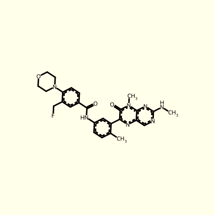 CNc1ncc2nc(-c3cc(NC(=O)c4ccc(N5CCOCC5)c(CF)c4)ccc3C)c(=O)n(C)c2n1